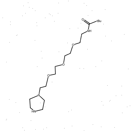 CC(C)(C)C(=O)NCCOCCOCCOCCN1CCNCC1